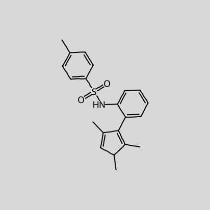 CC1=CC(C)C(C)=C1c1ccccc1NS(=O)(=O)c1ccc(C)cc1